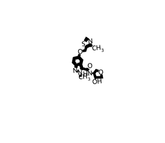 Cc1ncsc1COc1ccc2nn(C)c(C(=O)N[C@H]3COC[C@H]3O)c2c1